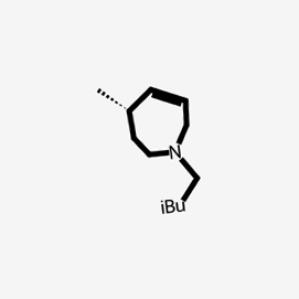 CCC(C)CN1CC=C[C@@H](C)CC1